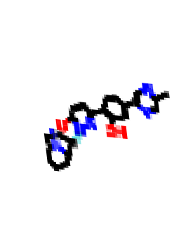 Cc1cnc(-c2ccc(-c3ccc(O[C@@H]4CC5CCCC(N5)[C@@H]4F)nn3)c(O)c2)cn1